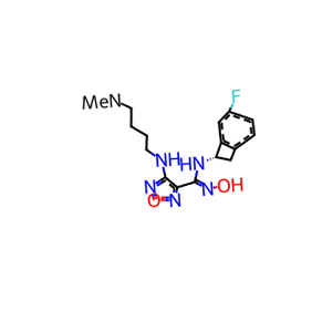 CNCCCCNc1nonc1/C(=N/O)N[C@H]1Cc2ccc(F)cc21